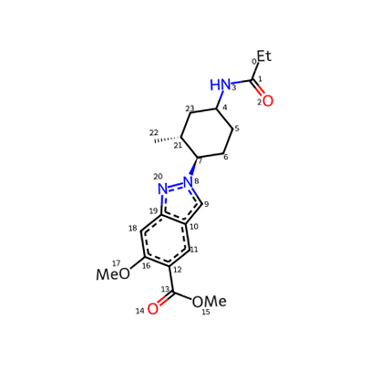 CCC(=O)NC1CC[C@@H](n2cc3cc(C(=O)OC)c(OC)cc3n2)[C@H](C)C1